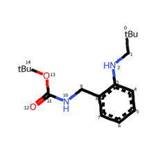 CC(C)(C)CNc1ccccc1CNC(=O)OC(C)(C)C